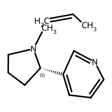 C=CC.CN1CCC[C@H]1c1cccnc1